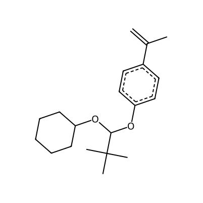 C=C(C)c1ccc(OC(OC2CCCCC2)C(C)(C)C)cc1